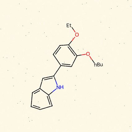 CCCCOc1cc(-c2cc3ccccc3[nH]2)ccc1OCC